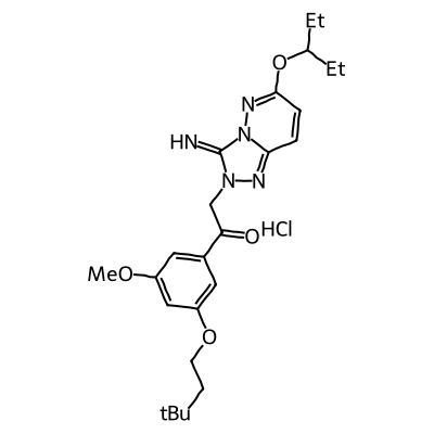 CCC(CC)Oc1ccc2nn(CC(=O)c3cc(OC)cc(OCCC(C)(C)C)c3)c(=N)n2n1.Cl